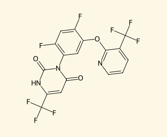 O=c1cc(C(F)(F)F)[nH]c(=O)n1-c1cc(Oc2ncccc2C(F)(F)F)c(F)cc1F